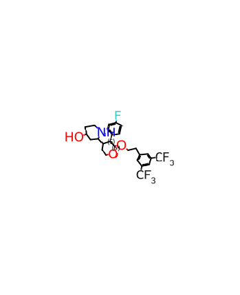 OC1CCNC(C2CCO[C@@H](OCCc3cc(C(F)(F)F)cc(C(F)(F)F)c3)[C@@H]2c2ccc(F)cc2)C1